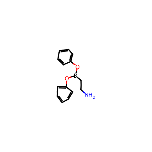 NCCB(Oc1ccccc1)Oc1ccccc1